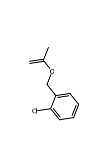 C=C(C)OCc1ccccc1Cl